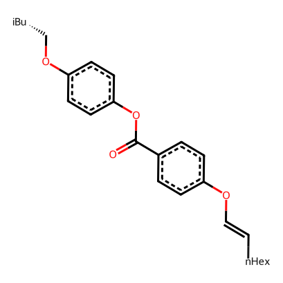 CCCCCC/C=C/Oc1ccc(C(=O)Oc2ccc(OC[C@@H](C)CC)cc2)cc1